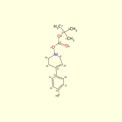 CC(C)(C)OC(=O)ON1CC=C(c2ccc(F)cc2)CC1